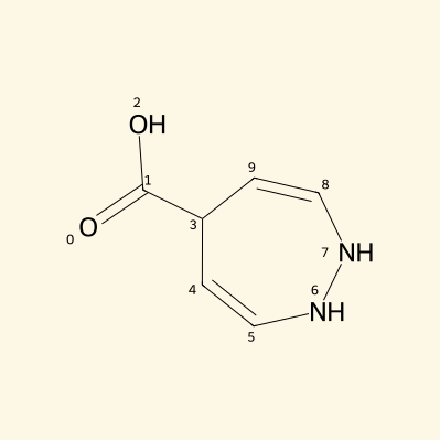 O=C(O)C1C=CNNC=C1